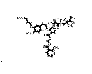 COCCCOc1cc(C[C@@H](C[C@H]2[C@H](C[C@H](C(=O)NCC(C)(C)C(N)=O)C(C)C)OCN2C(=O)OCOC(=O)c2cccnc2C)C(C)C)ccc1OC